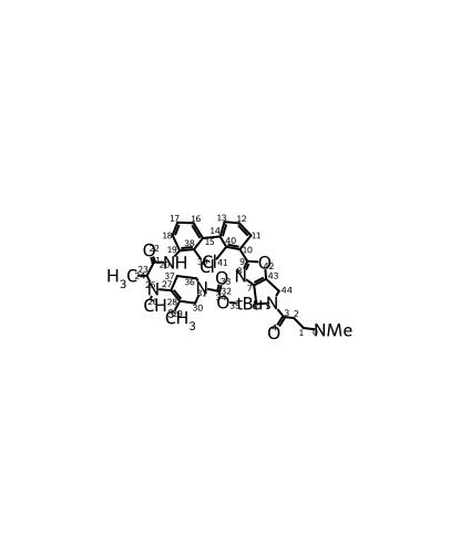 CNCCC(=O)N1Cc2nc(-c3cccc(-c4cccc(NC(=O)C(C)N(C)C5=C(C)CN(C(=O)OC(C)(C)C)CC5)c4Cl)c3Cl)oc2C1